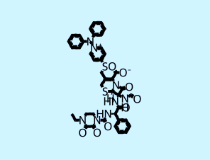 CCN1CCN(C(=O)N[C@@H](C(=O)N[C@]2(NC=O)C(=O)N3C(C(=O)[O-])=C(CSc4cc[n+](N(c5ccccc5)c5ccccc5)cc4)CS[C@@H]32)c2ccccc2)C(=O)C1=O